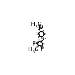 COCc1ccc(Cc2cc(F)c(C)c(F)c2)cc1